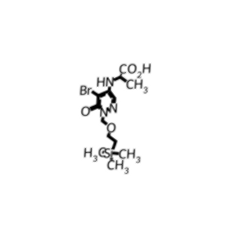 C[C@H](Nc1cnn(COCC[Si](C)(C)C)c(=O)c1Br)C(=O)O